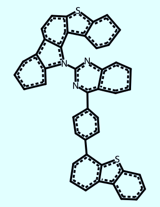 c1ccc2c(-c3ccc(-c4cccc5c4sc4ccccc45)cc3)nc(-n3c4ccccc4c4ccc5sc6ccccc6c5c43)nc2c1